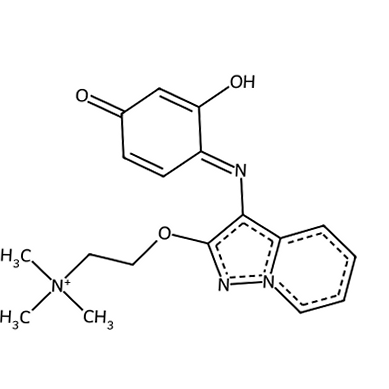 C[N+](C)(C)CCOc1nn2ccccc2c1/N=C1\C=CC(=O)C=C1O